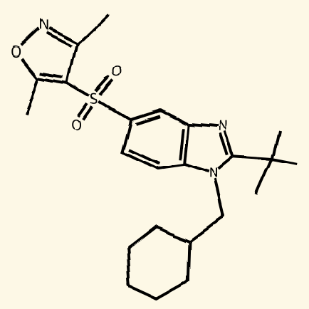 Cc1noc(C)c1S(=O)(=O)c1ccc2c(c1)nc(C(C)(C)C)n2CC1CCCCC1